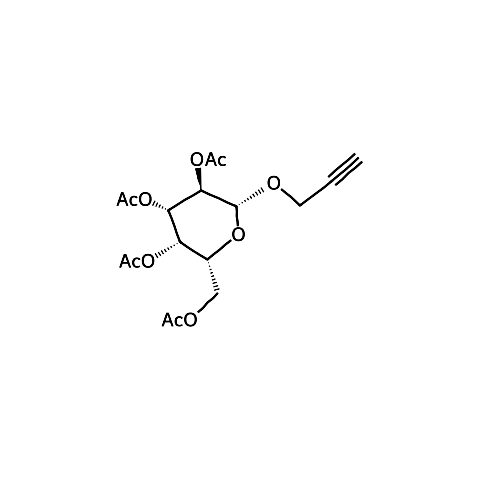 C#CCO[C@@H]1O[C@H](COC(C)=O)[C@H](OC(C)=O)[C@H](OC(C)=O)[C@H]1OC(C)=O